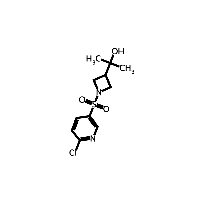 CC(C)(O)C1CN(S(=O)(=O)c2ccc(Cl)nc2)C1